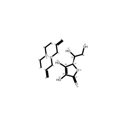 C=CCOCC=C.CCOCC.O=C1O[C@H](C(O)CO)C(O)=C1O